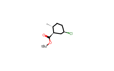 C[C@@H]1CC[C@@H](Cl)C[C@H]1C(=O)OC(C)(C)C